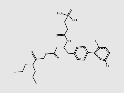 CCCN(CCC)C(=O)COC(=O)C[C@@H](Cc1ccc(-c2cc(Cl)ccc2F)cc1)NC(=O)CCP(=O)(O)O